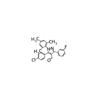 Cc1cc(C)c(-n2nc(-c3cccc(F)c3)c(C=O)c2-c2ccc(Cl)cc2)c(C)c1